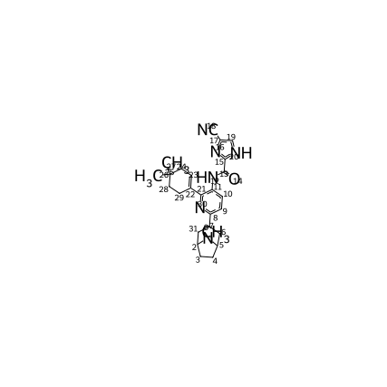 CN1C2CCC1CC(c1ccc(NC(=O)c3nc(C#N)c[nH]3)c(C3=CCC(C)(C)CC3)n1)C2